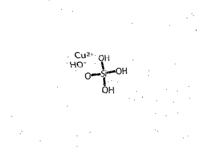 [Cu+2].[O-][Si](O)(O)O.[OH-]